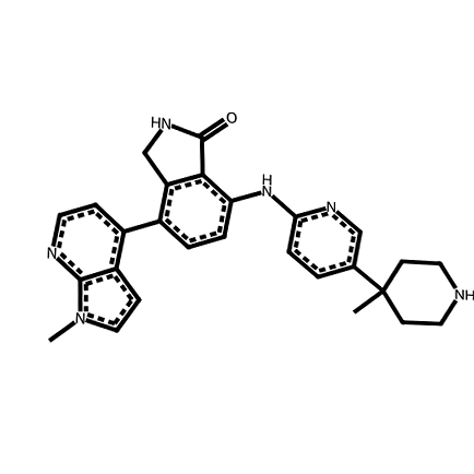 Cn1ccc2c(-c3ccc(Nc4ccc(C5(C)CCNCC5)cn4)c4c3CNC4=O)ccnc21